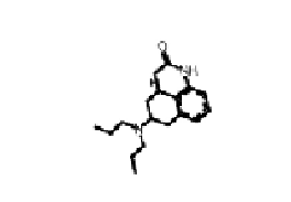 CCCN(CCC)C1Cc2cccc3c2[C@H](CC(=O)N3)C1